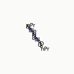 CCCc1ccc(OC(=O)c2ccc(/N=N/c3ccc(/N=N/c4ccc(/N=N/c5cc6c(cc5C)N(CCC)CCC6)c5ccccc45)c4ccccc34)cc2)cc1